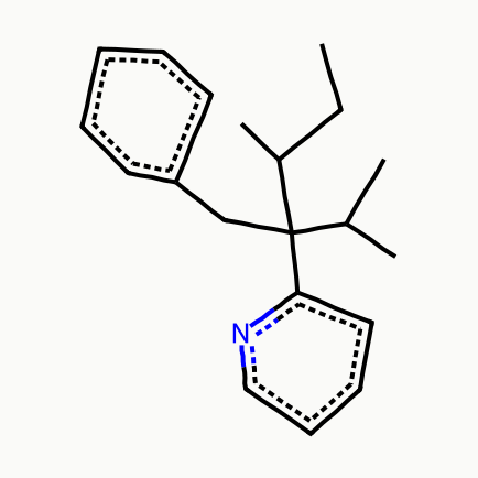 CCC(C)C(Cc1ccccc1)(c1ccccn1)C(C)C